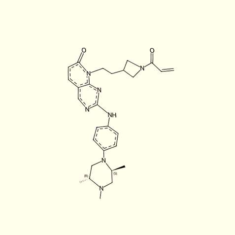 C=CC(=O)N1CC(CCn2c(=O)ccc3cnc(Nc4ccc(N5C[C@@H](C)N(C)C[C@@H]5C)cc4)nc32)C1